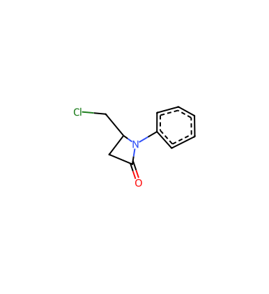 O=C1CC(CCl)N1c1ccccc1